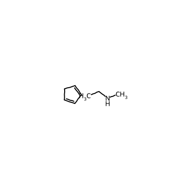 C1=CCC=C1.CCNC